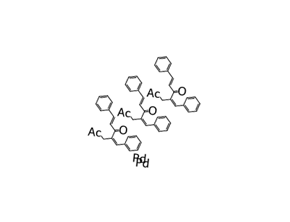 CC(=O)CC(=Cc1ccccc1)C(=O)C=Cc1ccccc1.CC(=O)CC(=Cc1ccccc1)C(=O)C=Cc1ccccc1.CC(=O)CC(=Cc1ccccc1)C(=O)C=Cc1ccccc1.[Pd].[Pd]